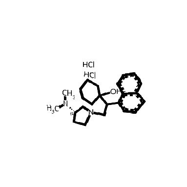 CN(C)[C@H]1CCN(CC(c2cccc3ccccc23)C2(O)CCCCC2)C1.Cl.Cl